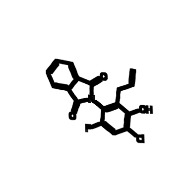 C=CCc1c(O)c(Cl)cc(F)c1N1C(=O)c2ccccc2C1=O